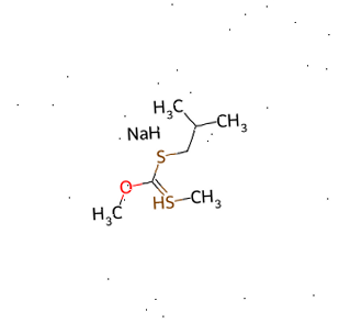 COC(SCC(C)C)=[SH]C.[NaH]